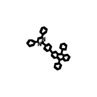 c1ccc(-c2cc(-c3ccccc3)nc(-c3ccc(-c4ccc5c(-c6ccccc6)c6ccccc6c(-c6ccccc6)c5c4)cc3)n2)cc1